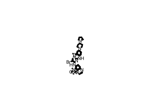 COc1cc(N2CCC(N3CCCC3)CC2)ccc1Nc1ncc(Br)c(Nc2ccc3nccnc3c2N(C)S(C)(=O)=O)n1